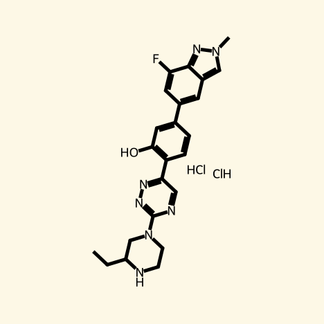 CCC1CN(c2ncc(-c3ccc(-c4cc(F)c5nn(C)cc5c4)cc3O)nn2)CCN1.Cl.Cl